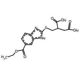 CCOC(=O)c1ccc2nc(SCC(CC(=O)O)C(=O)O)[nH]c2c1